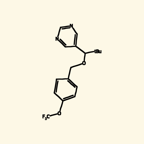 CC(C)(C)C(OCc1ccc(OC(F)(F)F)cc1)c1cncnc1